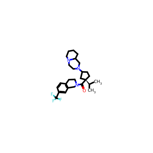 CC(C)[C@]1(C(=O)N2CCc3ccc(C(F)(F)F)cc3C2)CCC(N2CCN3CCCCC3C2)C1